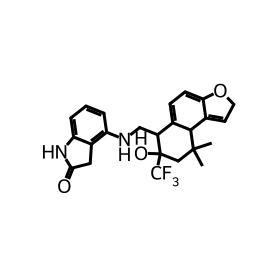 CC1(C)CC(O)(C(F)(F)F)C(CNc2cccc3c2CC(=O)N3)C2=CC=C3OCC=C3C21